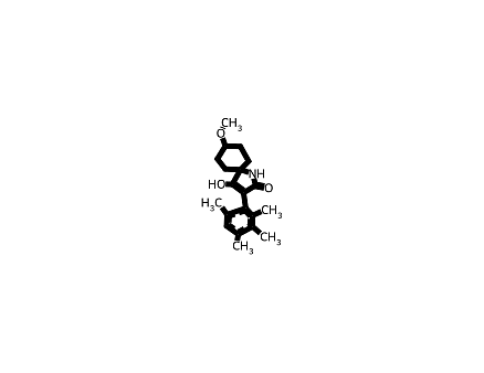 COC1CCC2(CC1)NC(=O)C(c1c(C)cc(C)c(C)c1C)=C2O